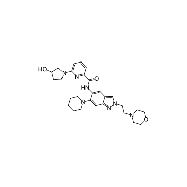 O=C(Nc1cc2cn(CCN3CCOCC3)nc2cc1N1CCCCC1)c1cccc(N2CCC(O)C2)n1